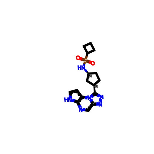 O=S(=O)(N[C@H]1CC[C@@H](c2nnc3cnc4[nH]ccc4n23)C1)C1CCC1